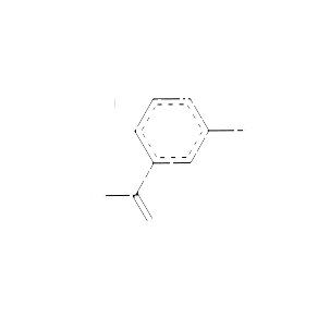 Cl.O=C(O)c1cccc(I)c1